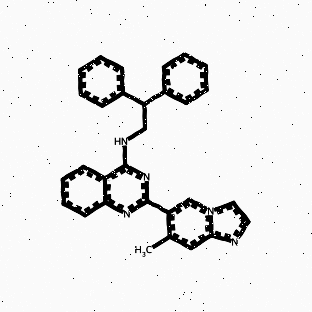 Cc1cc2nccn2cc1-c1nc(NCC(c2ccccc2)c2ccccc2)c2ccccc2n1